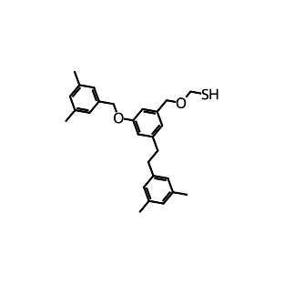 Cc1cc(C)cc(CCc2cc(COCS)cc(OCc3cc(C)cc(C)c3)c2)c1